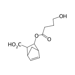 O=C(CCCO)OC1C2C=CC(C2)C1C(=O)O